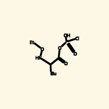 CCONC(C(=O)OP(=O)(O)Cl)C(C)CC